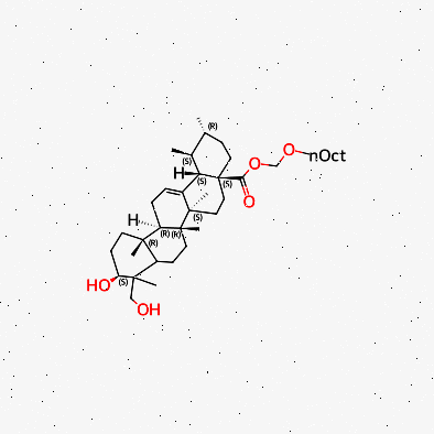 CCCCCCCCOCOC(=O)[C@]12CC[C@@H](C)[C@H](C)[C@H]1C1=CC[C@@H]3[C@@]4(C)CC[C@H](O)C(C)(CO)C4CC[C@@]3(C)[C@]1(C)CC2